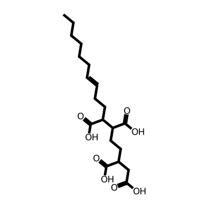 CCCCCCC=CCCC(C(=O)O)C(CCC(CC(=O)O)C(=O)O)C(=O)O